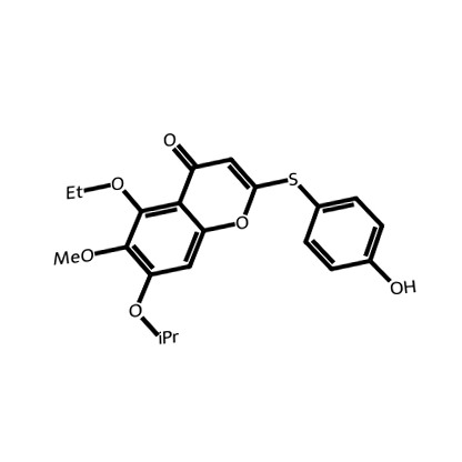 CCOc1c(OC)c(OC(C)C)cc2oc(Sc3ccc(O)cc3)cc(=O)c12